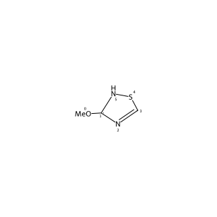 CO[C]1N=CSN1